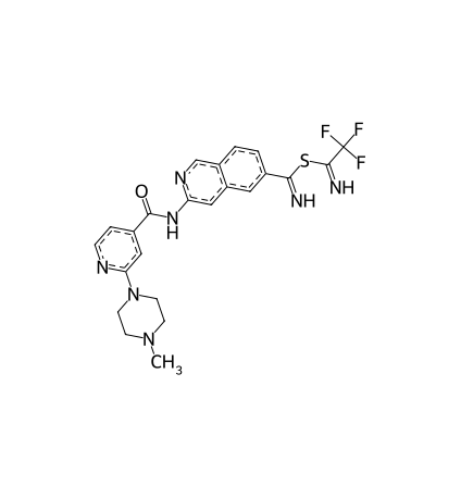 CN1CCN(c2cc(C(=O)Nc3cc4cc(C(=N)SC(=N)C(F)(F)F)ccc4cn3)ccn2)CC1